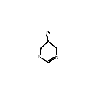 CC(C)C1CN=CNC1